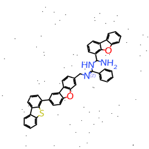 NC(N/C(=N\Cc1ccc2c(c1)oc1ccc(-c3cccc4c3sc3ccccc34)cc12)c1ccccc1)c1cccc2c1oc1ccccc12